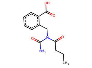 CCCC(=O)N(Cc1ccccc1C(=O)O)C(N)=O